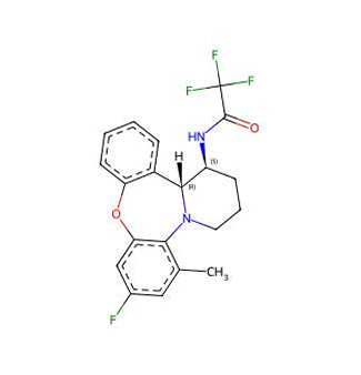 Cc1cc(F)cc2c1N1CCC[C@H](NC(=O)C(F)(F)F)[C@H]1c1ccccc1O2